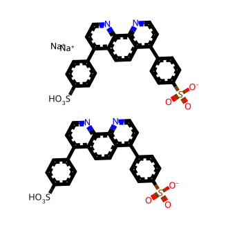 O=S(=O)([O-])c1ccc(-c2ccnc3c2ccc2c(-c4ccc(S(=O)(=O)O)cc4)ccnc23)cc1.O=S(=O)([O-])c1ccc(-c2ccnc3c2ccc2c(-c4ccc(S(=O)(=O)O)cc4)ccnc23)cc1.[Na+].[Na+]